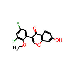 COc1c(F)cc(F)cc1-c1coc2cc(O)ccc2c1=O